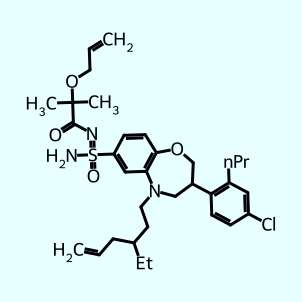 C=CCOC(C)(C)C(=O)N=S(N)(=O)c1ccc2c(c1)N(CCC(CC)CC=C)CC(c1ccc(Cl)cc1CCC)CO2